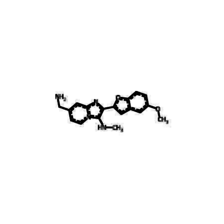 CNc1c(-c2cc3cc(OC)ccc3o2)nc2cc(CN)ccn12